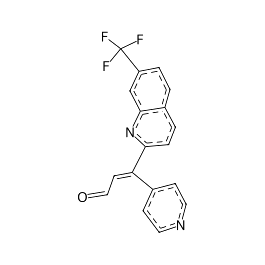 O=CC=C(c1ccncc1)c1ccc2ccc(C(F)(F)F)cc2n1